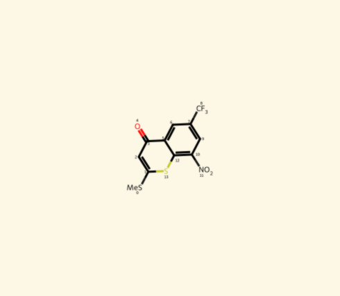 CSc1cc(=O)c2cc(C(F)(F)F)cc([N+](=O)[O-])c2s1